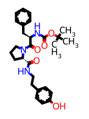 CC(C)(C)OC(=O)N[C@H](Cc1ccccc1)C(=O)N1CCC[C@H]1C(=O)NCCc1ccc(O)cc1